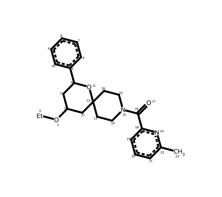 CCOC1CC(c2ccccc2)OC2(CCN(C(=O)c3cccc(C)n3)CC2)C1